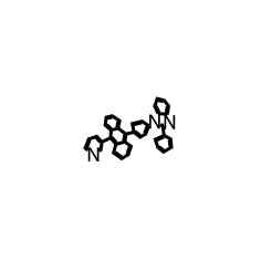 c1ccc(-c2nc3ccccc3n2-c2ccc(-c3c4ccccc4c(-c4cccnc4)c4ccccc34)cc2)cc1